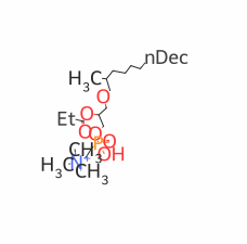 CCCCCCCCCCCCCCC(C)COCC(COP(=O)(O)CC[N+](C)(C)C)OC(=O)CC